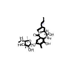 C/C=C/C1=CN2C(=O)c3cc(O[C@@H]4O[C@@H](C)[C@H](NC)[C@@](C)(O)[C@H]4O)c(C)c(O)c3N[C@H](O)[C@@H]2C1